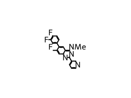 CNc1nc(-c2cccnc2)nc2cc(C)c(-c3ccc(F)c(F)c3F)cc12